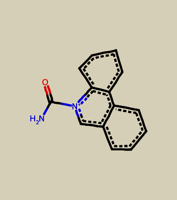 NC(=O)[n+]1cc2ccccc2c2ccccc21